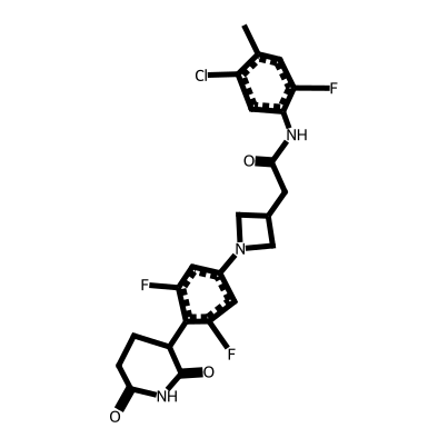 Cc1cc(F)c(NC(=O)CC2CN(c3cc(F)c(C4CCC(=O)NC4=O)c(F)c3)C2)cc1Cl